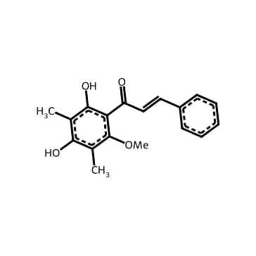 COc1c(C)c(O)c(C)c(O)c1C(=O)C=Cc1ccccc1